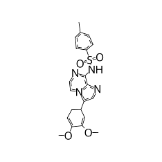 COC1=CCC(c2cnc3c(NS(=O)(=O)c4ccc(C)cc4)nccn23)C=C1OC